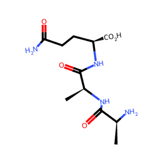 C[C@H](N)C(=O)N[C@@H](C)C(=O)N[C@@H](CCC(N)=O)C(=O)O